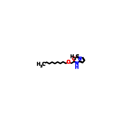 CCCCCCCCCOCC(=O)Nc1cccn1C